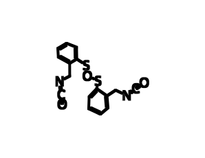 O=C=NCc1ccccc1SOSc1ccccc1CN=C=O